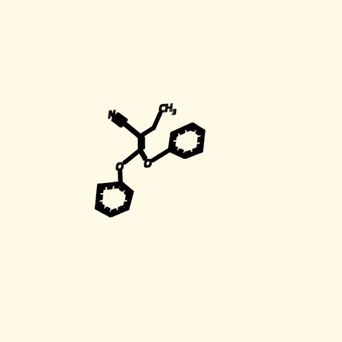 CCC(C#N)=C(Oc1ccccc1)Oc1ccccc1